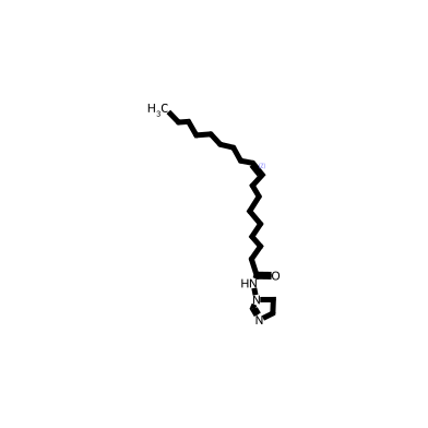 CCCCCCCC/C=C\CCCCCCCC(=O)NN1C=NCC1